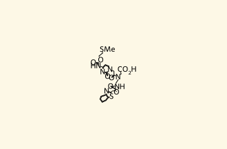 CSCCOC(=O)Nc1ccn(CC(=O)N(CCNS(=O)(=O)c2nc3ccccc3s2)CC(=O)O)c(=O)n1